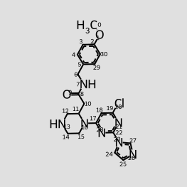 COc1ccc(CNC(=O)CC2CNCCN2c2cc(Cl)nc(-n3ccnc3)n2)cc1